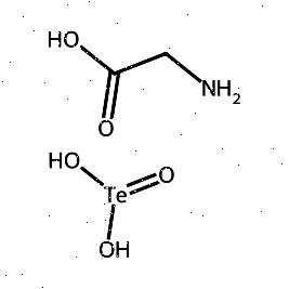 NCC(=O)O.O=[Te](O)O